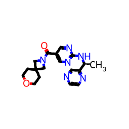 C[C@H](Nc1ncc(C(=O)N2CC3(CCOCC3)C2)cn1)c1cnccn1